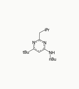 CCCCNc1cc(C(C)(C)C)nc(CC(C)C)n1